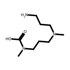 CN(CCCN)CCCN(C)C(=O)O